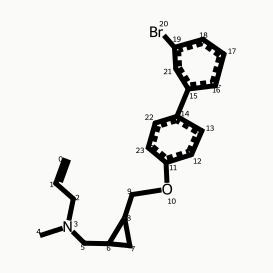 C=CCN(C)CC1CC1COc1ccc(-c2[c]ccc(Br)c2)cc1